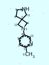 Cc1ccc(N2CC3(CCNC3)C2)cn1